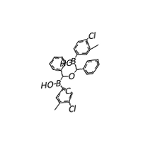 Cc1cc(B(O)C(OC(B(O)c2ccc(Cl)c(C)c2)c2ccccc2)c2ccccc2)ccc1Cl